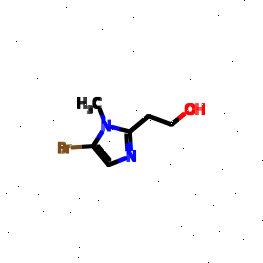 Cn1c(Br)cnc1CCO